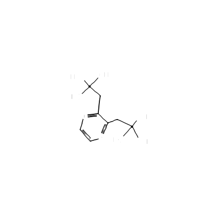 CC(C)(C)C[C]1=[Y][CH]=[CH][Y]=[C]1CC(C)(C)C